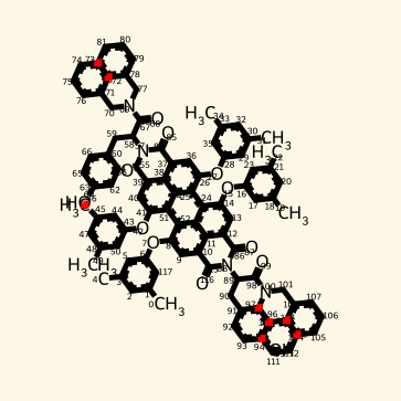 Cc1cc(C)cc(Oc2cc3c4c(cc(Oc5cc(C)cc(C)c5)c5c6c(Oc7cc(C)cc(C)c7)cc7c8c(cc(Oc9cc(C)cc(C)c9)c(c2c45)c86)C(=O)N(C(Cc2ccc(O)cc2)C(=O)N(Cc2ccccc2)Cc2ccccc2)C7=O)C(=O)N(C(Cc2ccc(O)cc2)C(=O)N(Cc2ccccc2)Cc2ccccc2)C3=O)c1